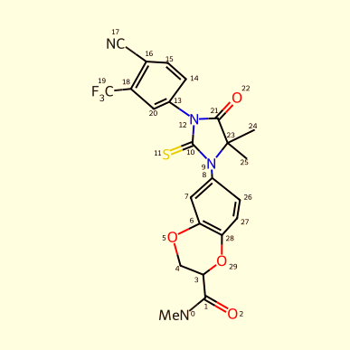 CNC(=O)C1COc2cc(N3C(=S)N(c4ccc(C#N)c(C(F)(F)F)c4)C(=O)C3(C)C)ccc2O1